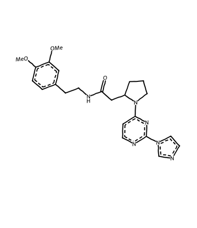 COc1ccc(CCNC(=O)CC2CCCN2c2ccnc(-n3ccnc3)n2)cc1OC